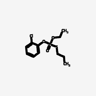 CCCSP(=O)(OCC)Oc1ccccc1Cl